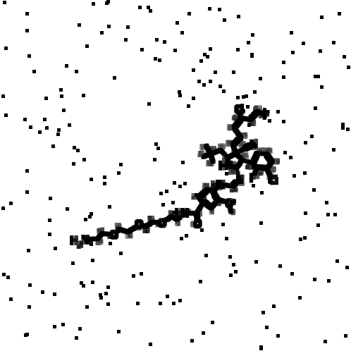 COc1cc(C(=O)NCCOCCOCCOCCN)ccc1N/C=N\[C@@H]1N[C@@H](CC(C)(C)C)[C@](C#N)(/C=C/C=C(Cl)\C=C\F)[C@H]1c1cccc(Cl)c1F